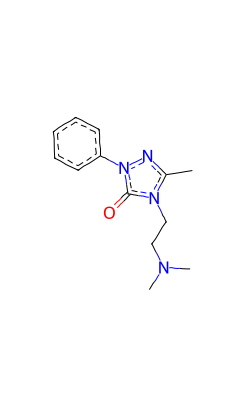 Cc1nn(-c2ccccc2)c(=O)n1CCN(C)C